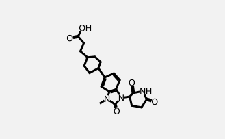 Cn1c(=O)n(C2CCC(=O)NC2=O)c2ccc(C3CCC(CCC(=O)O)CC3)cc21